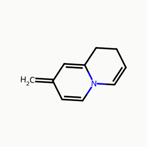 C=C1C=CN2C=CCCC2=C1